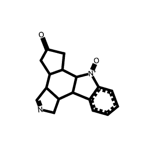 O=C1CC2C3C=NCC3C3c4ccccc4[N+](=O)C3C2C1